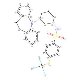 O=S(=O)(N[C@H]1CCC[C@@H](N2c3ccccc3CCc3ccccc32)C1)c1ccc(SC(F)(F)F)cc1